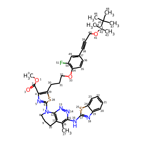 COC(=O)c1nc(N2CCCc3c2nnc(Nc2nc4ccccc4s2)c3C)sc1CCCOc1ccc(C#CCO[Si](C)(C)C(C)(C)C)cc1F